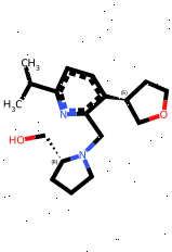 CC(C)c1ccc([C@H]2CCOC2)c(CN2CCC[C@@H]2CO)n1